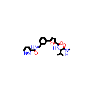 CNC(=O)[C@@H](NC(=O)c1ccc(-c2cccc(CNC(=O)c3cccnn3)c2)o1)C(C)C